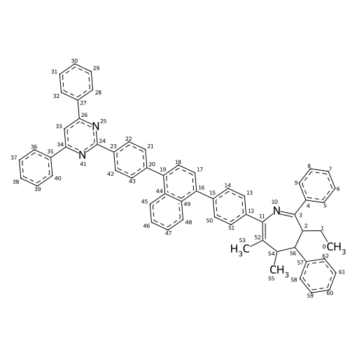 CCC1C(c2ccccc2)=NC(c2ccc(-c3ccc(-c4ccc(-c5nc(-c6ccccc6)cc(-c6ccccc6)n5)cc4)c4ccccc34)cc2)=C(C)C(C)C1c1ccccc1